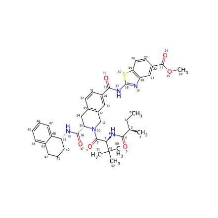 CC[C@@H](C)C(=O)N[C@H](C(=O)N1Cc2cc(C(=O)Nc3nc4cc(C(=O)OC)ccc4s3)ccc2C[C@H]1C(=O)N[C@@H]1CCCc2ccccc21)C(C)(C)C